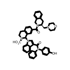 O=C(c1cn(C2c3cc(C(=O)N4Cc5ccccc5C[C@H]4CN4CCOCC4)ccc3CCN2C(=O)O)c2ccccc12)N(c1ccccc1)c1ccc(O)cc1